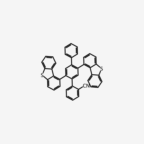 N#Cc1ccccc1-c1cc(-c2cccc3sc4ccccc4c23)c(-c2ccccc2)cc1-c1cccc2sc3ccccc3c12